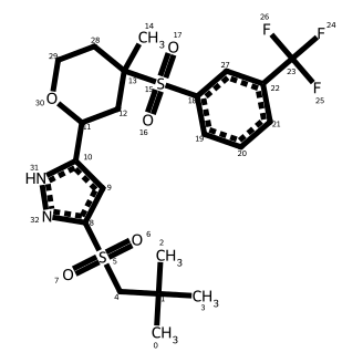 CC(C)(C)CS(=O)(=O)c1cc(C2CC(C)(S(=O)(=O)c3cccc(C(F)(F)F)c3)CCO2)[nH]n1